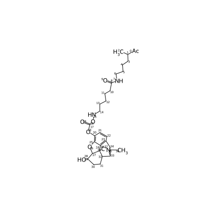 CC(=O)C(C)CCCCNC(=O)CCCCCNOC(=O)Oc1ccc2c3c1OC1C(O)CCC4C(C2)N(C)CCC341